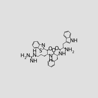 N=C(N)NCCC[C@H](NC(=O)[C@H](Cc1ccccc1)NC(=O)[C@H](N)Cc1c[nH]c2ccccc12)C(=O)c1nc2ccccc2s1